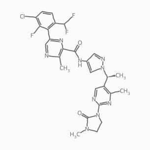 Cc1nc(N2CCN(C)C2=O)ncc1[C@H](C)n1cc(NC(=O)c2nc(-c3c(C(F)F)ccc(Cl)c3F)cnc2C)cn1